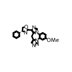 COc1ccc2c(c1)-n1nncc1Cc1c(C3=N[C@H](c4ccccc4)CO3)ncn1-2